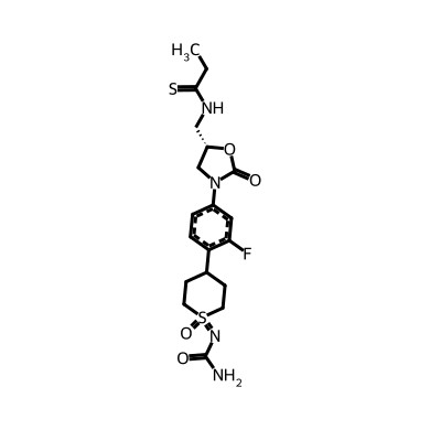 CCC(=S)NC[C@H]1CN(c2ccc(C3CCS(=O)(=NC(N)=O)CC3)c(F)c2)C(=O)O1